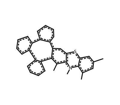 Cc1cc(C)c2c(c1)sc1cc3c4ccccc4c4ccccc4c4ccccc4c3c(C)c1n2C